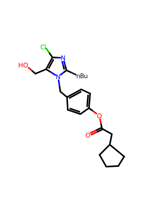 CCCCc1nc(Cl)c(CO)n1Cc1ccc(OC(=O)CC2CCCC2)cc1